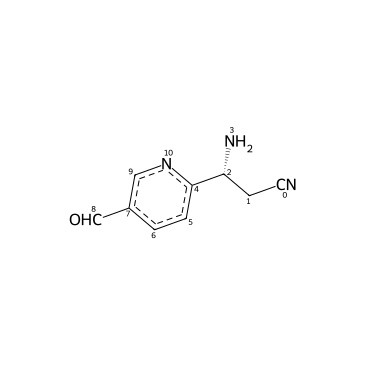 N#CC[C@@H](N)c1ccc(C=O)cn1